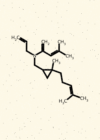 C=CCN(CC1CC1(C)CCC=C(C)C)C(=C)C=C(C)C